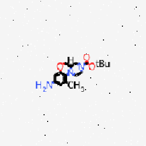 Cc1cc(N)cc2c1N1CCN(C(=O)OC(C)(C)C)C[C@H]1CO2